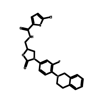 O=C(NCC1CN(c2ccc(N3CCc4ccccc4C3)c(F)c2)C(=O)O1)c1ccc(Cl)s1